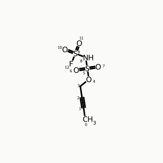 CC#CCOS(=O)(=O)NS(=O)(=O)F